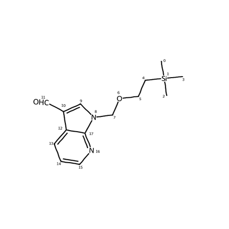 C[Si](C)(C)CCOCn1cc(C=O)c2cccnc21